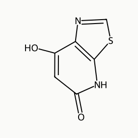 O=c1cc(O)c2ncsc2[nH]1